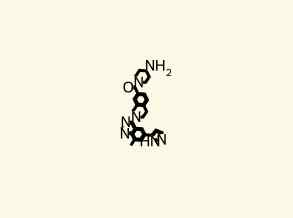 Cc1cc(-c2ccn[nH]2)cc2c(N3CCc4ccc(C(=O)N5CCC(N)CC5)cc4C3)ncnc12